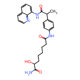 CC(C(=O)Nc1cccc2cccnc12)c1ccc(NC(=O)CCCCCC(O)C(N)=O)cc1